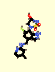 Cc1ccnc(NCc2cc(F)c(N3CC(=O)NS3(=O)=O)c3[nH]ncc23)c1